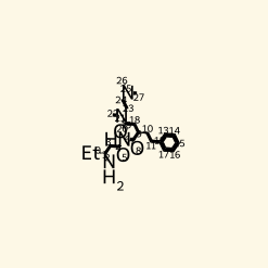 CC[C@@H](N)CC(=O)NC(=O)[C@H](CCc1ccccc1)CC(=O)N(C)CCN(C)C